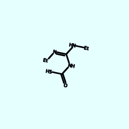 CC/N=C(/NCC)NC(=O)S